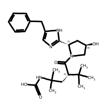 CC(C)(C[C@H](C(=O)N1C[C@H](O)C[C@H]1c1ncc(Cc2ccccc2)[nH]1)C(C)(C)C)NC(=O)O